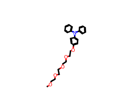 COCCOCCOCCOCCOc1ccc(N(c2ccccc2)c2ccccc2)cc1